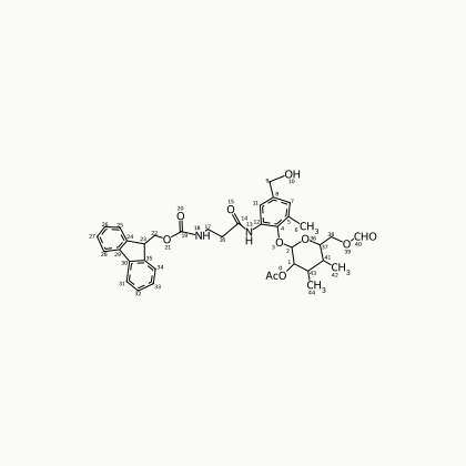 CC(=O)OC1C(Oc2c(C)cc(CO)cc2NC(=O)CCNC(=O)OCC2c3ccccc3-c3ccccc32)OC(COC=O)C(C)C1C